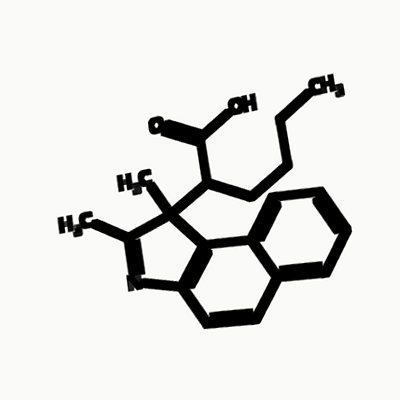 CCCCC(C(=O)O)C1(C)C(C)=Nc2ccc3ccccc3c21